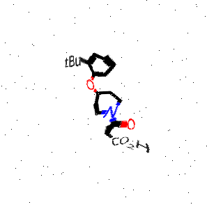 CC(C)(C)c1ccccc1OC1CCN(C(=O)CC(=O)O)CC1